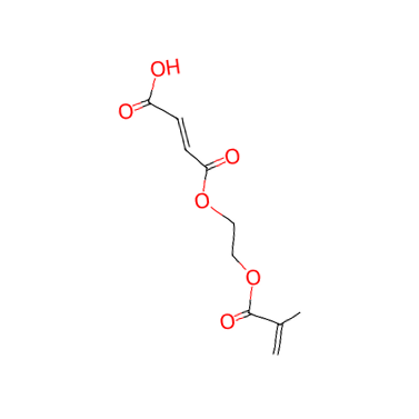 C=C(C)C(=O)OCCOC(=O)C=CC(=O)O